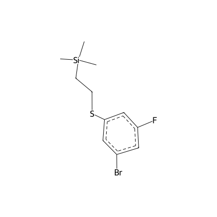 C[Si](C)(C)CCSc1cc(F)cc(Br)c1